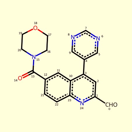 O=Cc1cc(-c2cncnc2)c2cc(C(=O)N3CCOCC3)ccc2n1